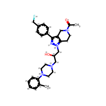 CC(=O)N1CCc2c(c(-c3ccc(CF)cc3)nn2CC(O)CN2CCN(c3ccccc3C)CC2)C1